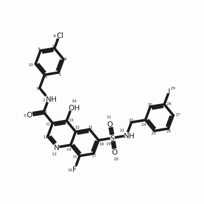 O=C(NCc1ccc(Cl)cc1)c1cnc2c(F)cc(S(=O)(=O)NCc3cccc(I)c3)cc2c1O